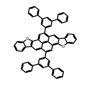 c1ccc(-c2cc(-c3ccccc3)cc(-c3cc4c5oc6ccccc6c5cc5c(-c6cc(-c7ccccc7)cc(-c7ccccc7)c6)cc6c7oc8ccccc8c7cc3c6c54)c2)cc1